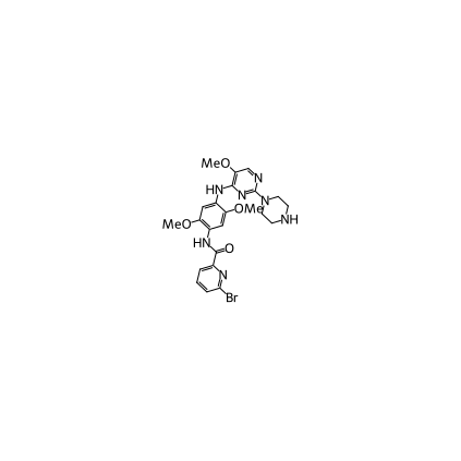 COc1cc(Nc2nc(N3CCNCC3)ncc2OC)c(OC)cc1NC(=O)c1cccc(Br)n1